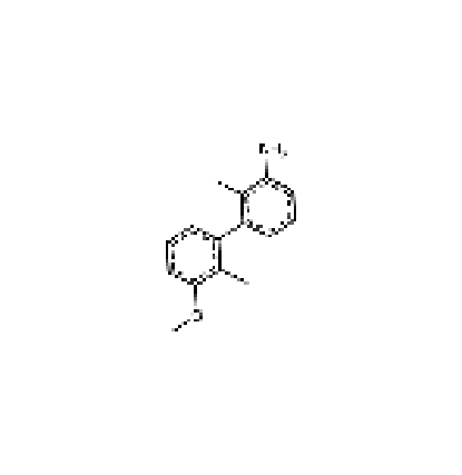 COc1cccc(-c2cccc(N)c2C)c1F